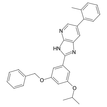 Cc1ccccc1-c1cnc2[nH]c(-c3cc(OCc4ccccc4)cc(OC(C)C)c3)nc2c1